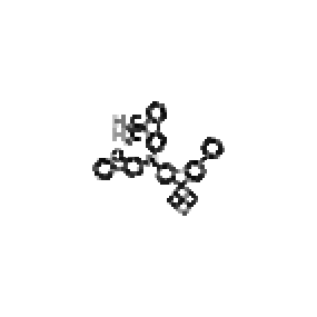 CC1(C)c2ccccc2-c2ccc(N(c3ccc4c(c3)-c3cc(-c5ccccc5)ccc3C43C4CC5CC6CC3C564)c3ccc4c(c3)oc3ccccc34)cc21